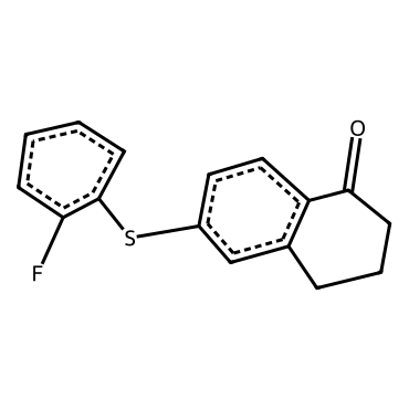 O=C1CCCc2cc(Sc3ccccc3F)ccc21